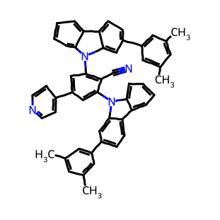 Cc1cc(C)cc(-c2ccc3c4ccccc4n(-c4cc(-c5ccncc5)cc(-n5c6ccccc6c6ccc(-c7cc(C)cc(C)c7)cc65)c4C#N)c3c2)c1